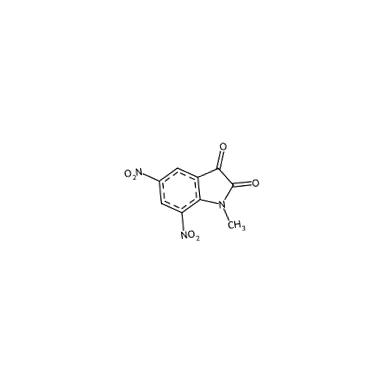 CN1C(=O)C(=O)c2cc([N+](=O)[O-])cc([N+](=O)[O-])c21